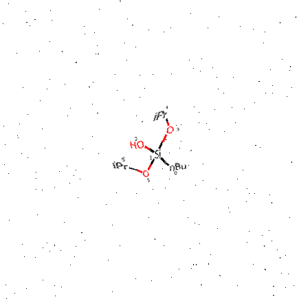 CCCC[Si](O)(OC(C)C)OC(C)C